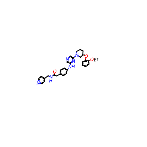 CCOc1ccccc1O[C@@H]1CCCN(c2cncc(Nc3ccc(CC(=O)NCc4ccncc4)cc3)n2)C1